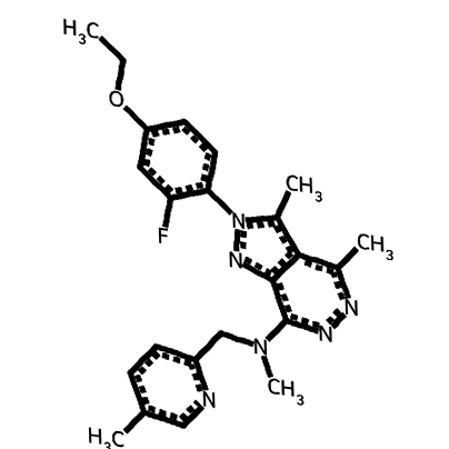 CCOc1ccc(-n2nc3c(N(C)Cc4ccc(C)cn4)nnc(C)c3c2C)c(F)c1